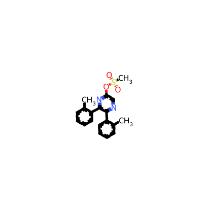 Cc1ccccc1-c1ncc(OS(C)(=O)=O)nc1-c1ccccc1C